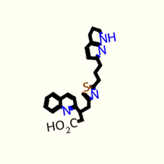 O=C(O)CC(Cc1csc(CCCc2ccc3c(n2)NCCC3)n1)c1ccc2ccccc2n1